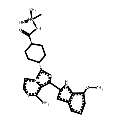 COc1cccc2cc(-c3nc([C@H]4CC[C@H](C(=O)N[SH](C)(=N)I)CC4)n4ccnc(N)c34)[nH]c12